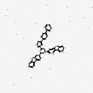 c1ccc(-c2ccc(-c3cccc(-c4nc(-c5ccc6c(c5)sc5ccccc56)cc(-c5ccc6c(c5)sc5ccccc56)n4)c3)cc2)cc1